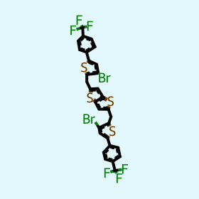 FC(F)(F)c1ccc(-c2cc(Br)c(Cc3cc4sc(Cc5sc(-c6ccc(C(F)(F)F)cc6)cc5Br)cc4s3)s2)cc1